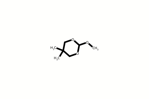 COC1OCC(C)(C)CO1